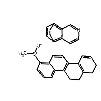 C[S+]([O-])c1cccc2c3c(ccc12)C1=C(CCC=C1)CC3.c1cc2c3ccc(c2cn1)CC3